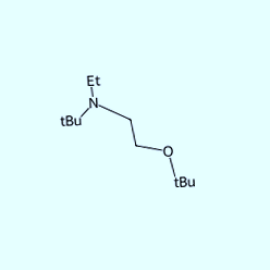 CCN(CCOC(C)(C)C)C(C)(C)C